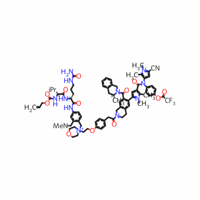 C=CCOC(=O)N[C@H](C(=O)N[C@@H](CCCNC(N)=O)C(=O)Nc1ccc(C[N+]2(CCOc3ccc(CC(=O)N4CCc5cc(-c6cc(C(=O)N(c7ccc(OC(=O)C(F)(F)F)cc7)c7cc(C#N)n(C)c7C)c(C)n6C)c(C(=O)N6Cc7ccccc7C[C@H]6C)cc5C4)cc3)CCOCC2)c(CNC)c1)C(C)C